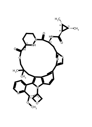 CO[C@@H](C)c1ncccc1-c1c2c3cc(ccc3n1C1COC1)-c1csc(n1)C[C@H](NC(=O)[C@H]1[C@H](C)[C@@H]1C)C(=O)N1CCC[C@H](N1)C(=O)OCC(C)(C)C2